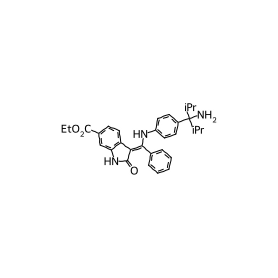 CCOC(=O)c1ccc2c(c1)NC(=O)/C2=C(/Nc1ccc(C(N)(C(C)C)C(C)C)cc1)c1ccccc1